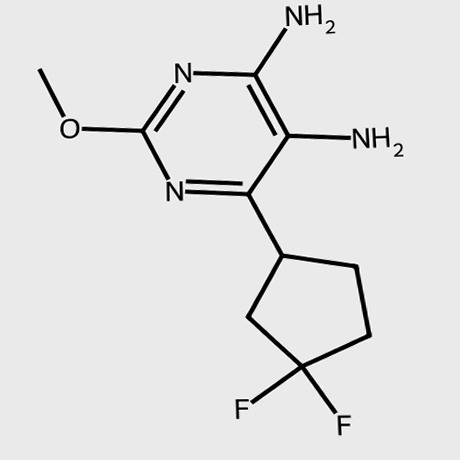 COc1nc(N)c(N)c(C2CCC(F)(F)C2)n1